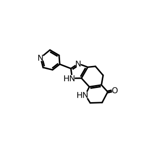 O=C1CCNC2=C1CCc1nc(-c3ccncc3)[nH]c12